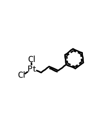 [Cl][Pt]([Cl])[CH2]C=Cc1ccccc1